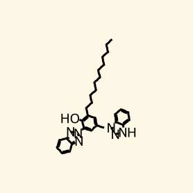 CCCCCCCCCCCCc1cc(C)cc(-n2nc3ccccc3n2)c1O.c1ccc2[nH]nnc2c1